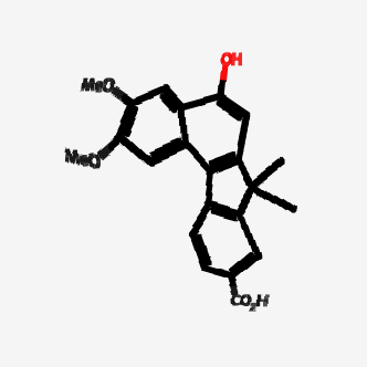 COc1cc2c(O)cc3c(c2cc1OC)-c1ccc(C(=O)O)cc1C3(C)C